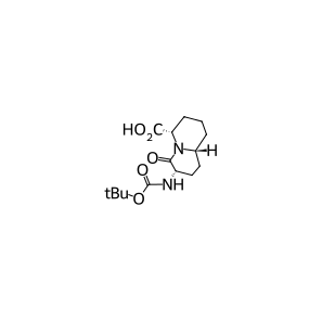 CC(C)(C)OC(=O)N[C@H]1CC[C@H]2CCC[C@@H](C(=O)O)N2C1=O